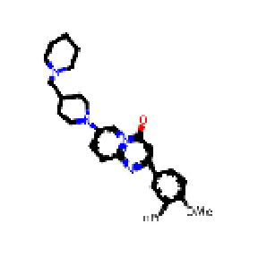 CCCc1cc(-c2cc(=O)n3cc(N4CCC(CN5CCCCC5)CC4)ccc3n2)ccc1OC